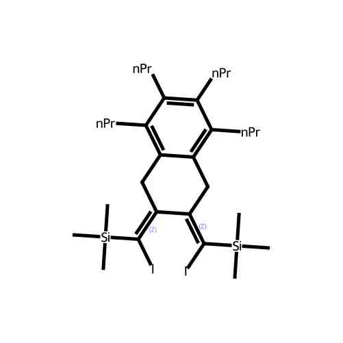 CCCc1c(CCC)c(CCC)c2c(c1CCC)CC(=C(/I)[Si](C)(C)C)/C(=C(\I)[Si](C)(C)C)C2